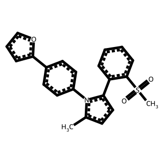 Cc1ccc(-c2ccccc2S(C)(=O)=O)n1-c1ccc(-c2ccco2)cc1